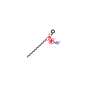 CCCCCCCCCCCCCCCCCCOCC(COP(=O)([O-])OCC[N+](C)(C)C)OCc1ccccc1